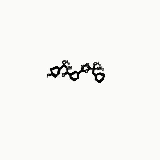 C[C@@H](NC(=O)c1cccc(-c2nnc([C@](C)(N)Cc3ccccc3)o2)c1)c1ccc(F)cc1